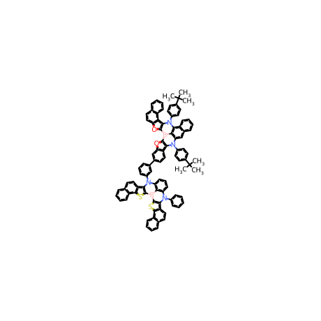 CC(C)(C)c1ccc(N2c3cc4ccccc4c4c3B(c3oc5cc(-c6cccc(N7c8cccc9c8B(c8sc%10c(ccc%11ccccc%11%10)c8N9c8ccccc8)c8sc9c(ccc%10ccccc%109)c87)c6)ccc5c32)c2oc3ccc5ccccc5c3c2N4c2ccc(C(C)(C)C)cc2)cc1